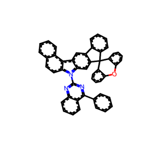 c1ccc(-c2nc(-n3c4cc5c(cc4c4c6ccccc6ccc43)-c3ccccc3C53c4ccccc4Oc4ccccc43)nc3ccccc23)cc1